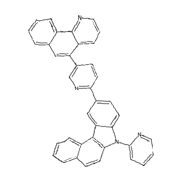 c1ccc(-n2c3ccc(-c4ccc(-c5cc6ccccc6c6ncccc56)cn4)cc3c3c4ccccc4ccc32)nc1